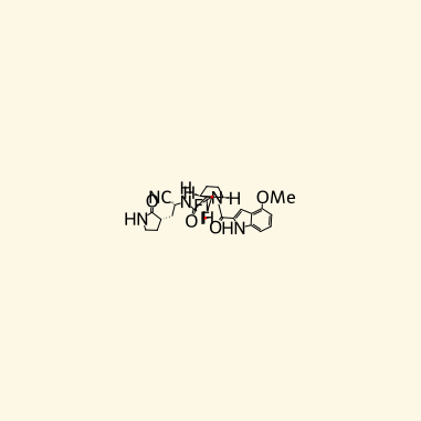 COc1cccc2[nH]c(C(=O)N3[C@H]4CC[C@@H]([C@H]3C(=O)N[C@@H](C#N)C[C@@H]3CCNC3=O)C(F)(F)C4)cc12